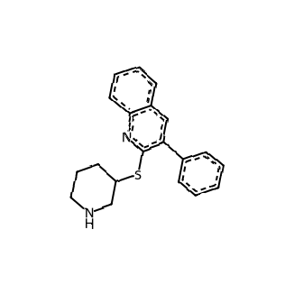 c1ccc(-c2cc3ccccc3nc2SC2CCCNC2)cc1